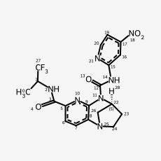 CC(NC(=O)c1ccc2c(n1)N(C(=O)Nc1cc([N+](=O)[O-])ccn1)[C@H]1CCN2C1)C(F)(F)F